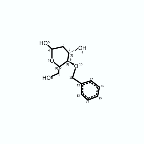 OC[C@H]1OC(O)C[C@H](O)[C@H]1OCc1ccccc1